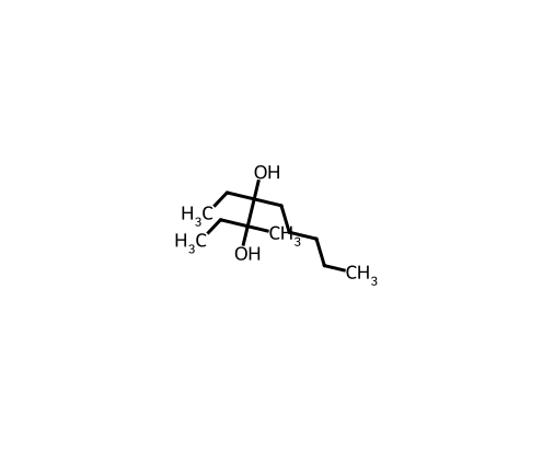 CCCCCC(O)(CC)C(C)(O)CC